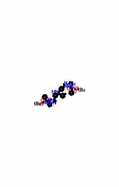 Cc1cccc(-c2c(-c3ccc(-c4cnc([C@@H]5CCCN5C(=O)[C@H](NC(=O)OC(C)(C)C)c5ccccc5)[nH]4)cc3)[nH]c3ccc(-c4cnc([C@@H]5CCCN5C(=O)[C@H](NC(=O)OC(C)(C)C)c5ccccc5)[nH]4)cc23)c1